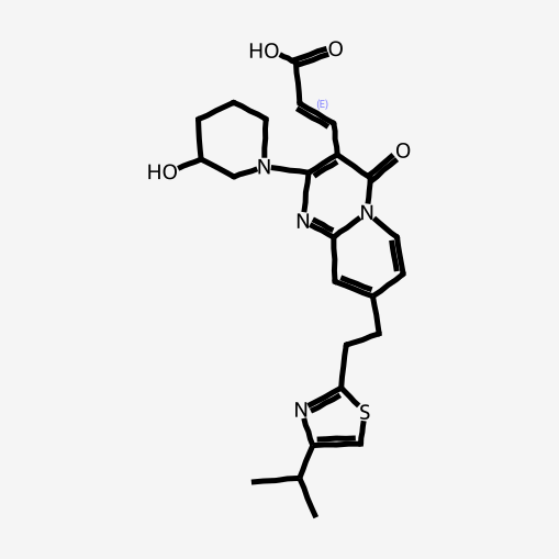 CC(C)c1csc(CCc2ccn3c(=O)c(/C=C/C(=O)O)c(N4CCCC(O)C4)nc3c2)n1